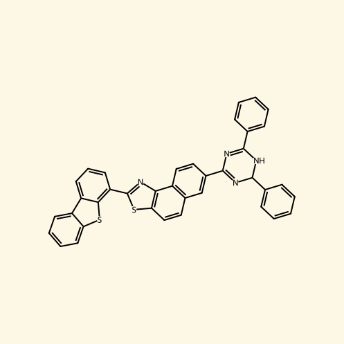 c1ccc(C2=NC(c3ccc4c(ccc5sc(-c6cccc7c6sc6ccccc67)nc54)c3)=NC(c3ccccc3)N2)cc1